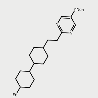 CCCCCCCCCc1cnc(CCC2CCC(C3CCC(CC)CC3)CC2)nc1